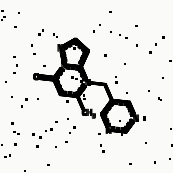 Cc1cc(=O)n2nccc2n1Cc1cncnc1